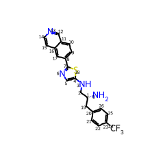 N[C@@H](CNc1cnc(-c2ccc3cnccc3c2)s1)Cc1ccc(C(F)(F)F)cc1